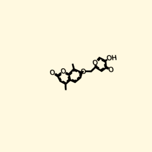 Cc1cc(=O)oc2c(C)c(OCc3cc(=O)c(O)co3)ccc12